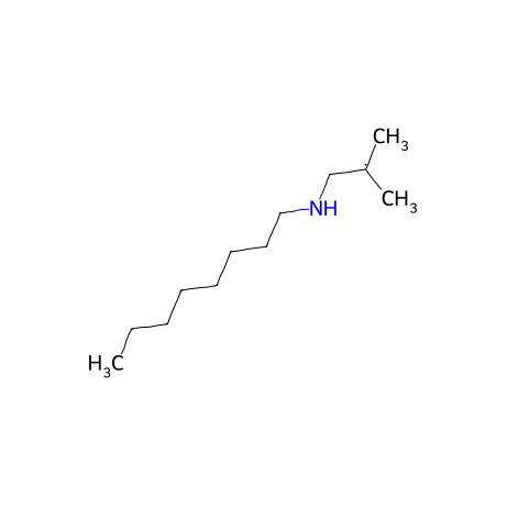 CCCCCCCCNC[C](C)C